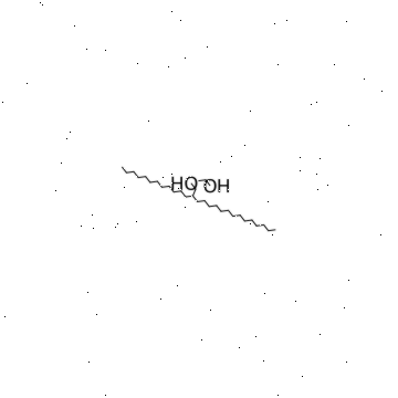 CCCCCCCCCCCCCCC(CO)CCCCCCCCCCCC.CCO